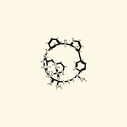 CC1CCCN(C)c2ccc(cn2)-c2ccnc(n2)Nc2cccc(c2)CN2CCN(CC1=O)CC2COCCOS(C)(=O)=O